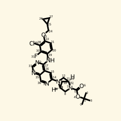 CC(C)(C)OC(=O)N1C[C@@H]2C[C@H]1CN2c1cc2c(Nc3ccc(OCC4CC4)c(Cl)c3F)ncnc2cn1